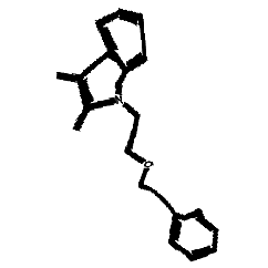 Cc1c(C)n(CCOCc2ccccc2)c2ccccc12